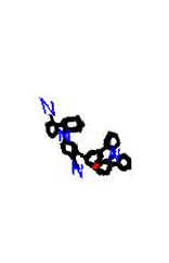 N#Cc1ccc(-n2c3ccccc3c3c(C#N)cccc32)cc1-c1cccc(-c2ccccc2-n2c3ccccc3c3ccccc32)c1